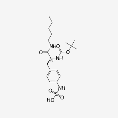 CCCCCNC(=O)[C@H](Cc1ccc(NS(=O)(=O)O)cc1)NC(=O)OC(C)(C)C